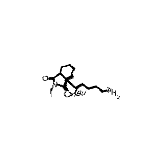 CCCCC(CCCCP)C12CCCCC1C(=O)N(I)C2=O